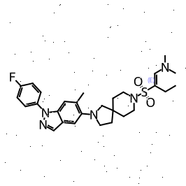 CC/C(=C\N(C)C)S(=O)(=O)N1CCC2(CCN(c3cc4cnn(-c5ccc(F)cc5)c4cc3C)C2)CC1